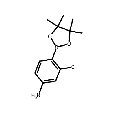 CC1(C)OB(c2ccc(N)cc2Cl)OC1(C)C